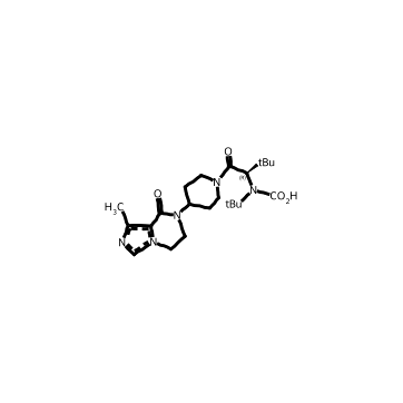 Cc1ncn2c1C(=O)N(C1CCN(C(=O)[C@H](N(C(=O)O)C(C)(C)C)C(C)(C)C)CC1)CC2